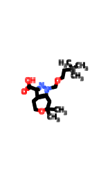 CC1(C)Cc2c(c(C(=O)O)nn2COCC[Si](C)(C)C)CCO1